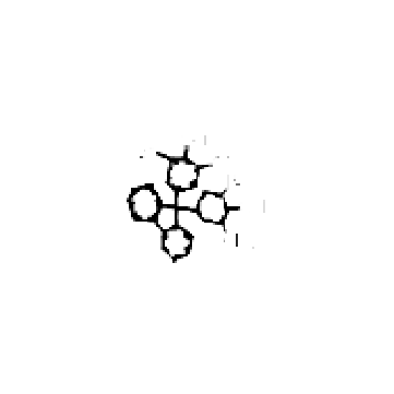 Cc1cc(C2(c3cc(C)c(O)c(Br)c3)c3ccccc3-c3ccccc32)cc(Br)c1O